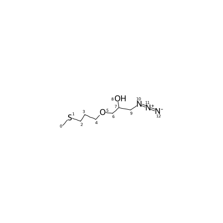 CSCCCOCC(O)CN=[N+]=[N-]